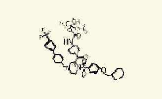 CC(C)(C)OC(=O)NC1CCN(C(=O)[C@@H]2CN(Cc3ccc(-c4ccc(C(F)(F)F)cc4)cc3)CCN2S(=O)(=O)c2ccc(OCC3CCCCC3)cc2)CC1